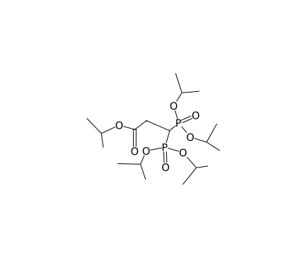 CC(C)OC(=O)CC(P(=O)(OC(C)C)OC(C)C)P(=O)(OC(C)C)OC(C)C